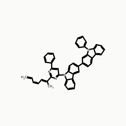 C=C/C=C\C=C(/C)c1nc(-c2ccccc2)cc(-n2c3ccccc3c3cc(-c4ccc5c6ccccc6n(-c6ccccc6)c5c4)ccc32)n1